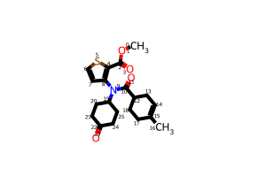 COC(=O)c1sccc1N(C(=O)C1CC=C(C)CC1)C1CCC(=O)CC1